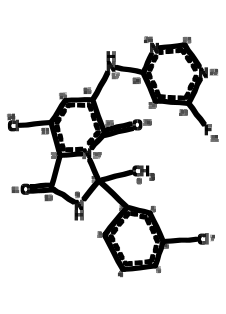 CC1(c2cccc(Cl)c2)NC(=O)c2c(Cl)cc(Nc3cc(F)ncn3)c(=O)n21